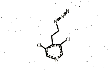 [N-]=[N+]=NCCc1c(Cl)cncc1Cl